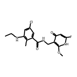 CCNc1cc(Cl)cc(C(=O)NCc2c(OC)[nH]c(F)cc2=O)c1C